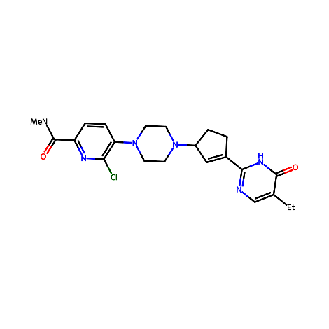 CCc1cnc(C2=CC(N3CCN(c4ccc(C(=O)NC)nc4Cl)CC3)CC2)[nH]c1=O